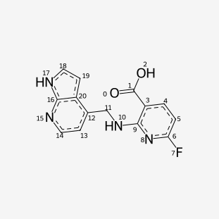 O=C(O)c1ccc(F)nc1NCc1ccnc2[nH]ccc12